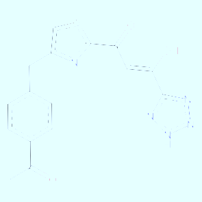 CC(=O)c1ccc(Cc2csc(C(=O)C=C(O)c3nn[nH]n3)n2)cc1